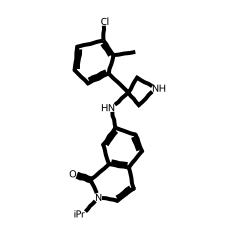 Cc1c(Cl)cccc1C1(Nc2ccc3ccn(C(C)C)c(=O)c3c2)CNC1